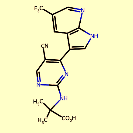 CC(C)(Nc1ncc(C#N)c(-c2c[nH]c3ncc(C(F)(F)F)cc23)n1)C(=O)O